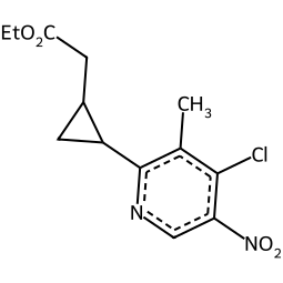 CCOC(=O)CC1CC1c1ncc([N+](=O)[O-])c(Cl)c1C